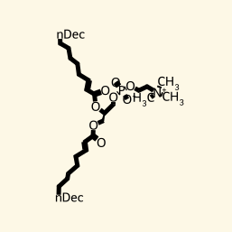 CCCCCCCCCCCCCCCC=CC(=O)OC[C@H](COP(=O)([O-])OCC[N+](C)(C)C)OC(=O)C=CCCCCCCCCCCCCCCC